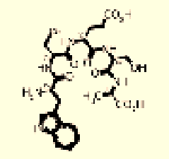 CC(C)C[C@H](NC(=O)[C@@H](N)Cc1c[nH]c2ccccc12)C(=O)N[C@@H](CCC(=O)O)C(=O)N[C@@H](CO)C(=O)N[C@@H](C)C(=O)O